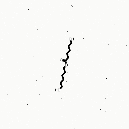 O=C(CCCCCO)OCCCCCCO